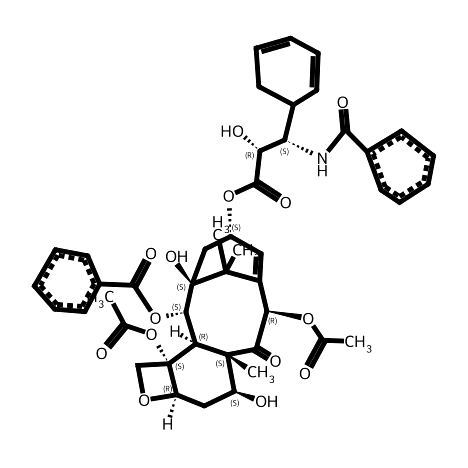 CC(=O)O[C@H]1C(=O)[C@@]2(C)[C@H]([C@H](OC(=O)c3ccccc3)[C@]3(O)C[C@H](OC(=O)[C@H](O)[C@@H](NC(=O)c4ccccc4)C4C=CC=CC4)C=C1C3(C)C)[C@]1(OC(C)=O)CO[C@@H]1C[C@@H]2O